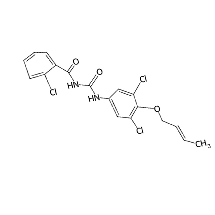 CC=CCOc1c(Cl)cc(NC(=O)NC(=O)c2ccccc2Cl)cc1Cl